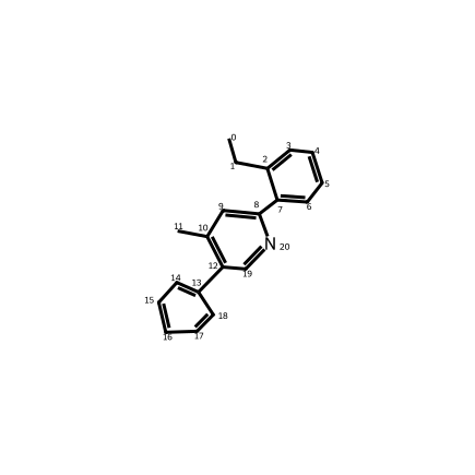 CCc1ccccc1-c1cc(C)c(-c2ccccc2)cn1